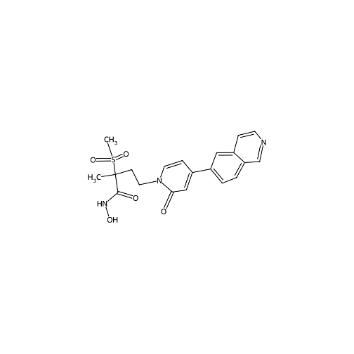 CC(CCn1ccc(-c2ccc3cnccc3c2)cc1=O)(C(=O)NO)S(C)(=O)=O